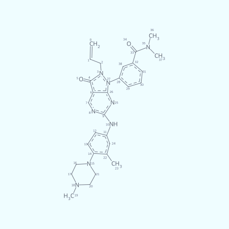 C=CCn1c(=O)c2cnc(Nc3ccc(N4CCN(C)CC4)c(C)c3)nc2n1-c1cccc(C(=O)N(C)C)c1